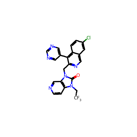 O=c1n(Cc2ncc3cc(Cl)ccc3c2-c2cncnc2)c2cnccc2n1CC(F)(F)F